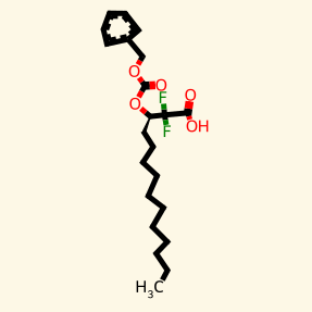 CCCCCCCCCCC[C@@H](OC(=O)OCc1ccccc1)C(F)(F)C(=O)O